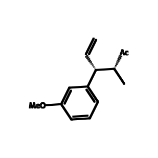 C=C[C@@H](c1cccc(OC)c1)[C@@H](C)C(C)=O